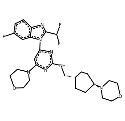 Fc1ccc2nc(C(F)F)n(-c3cc(N4CCOCC4)nc(NC[C@H]4CC[C@H](N5CCOCC5)CC4)n3)c2c1